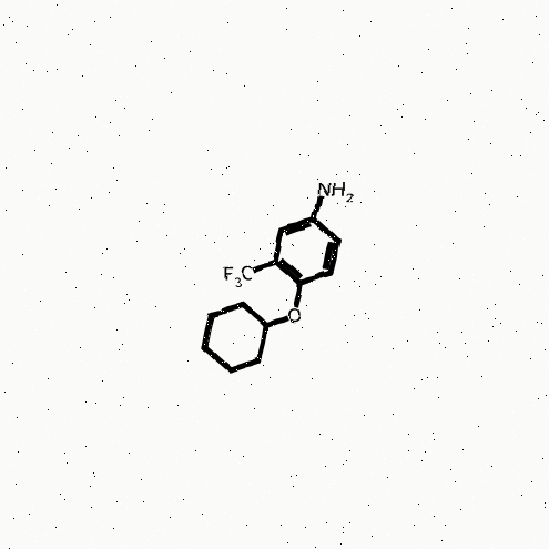 Nc1ccc(OC2CCCCC2)c(C(F)(F)F)c1